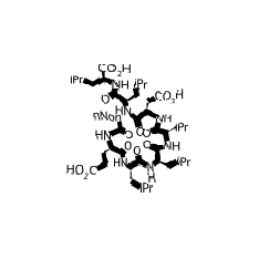 CCCCCCCCCC(=O)N[C@@H](CCC(=O)O)C(=O)N[C@@H](CC(C)C)C(=O)N[C@H](CC(C)C)C(=O)N[C@H](C(=O)N[C@@H](CC(=O)O)C(=O)N[C@H](CC(C)C)C(=O)N[C@@H](CC(C)C)C(=O)O)C(C)C